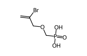 C=C(Br)COCP(=O)(O)O